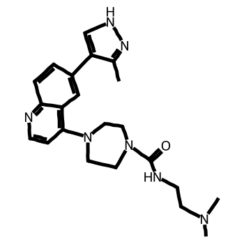 Cc1n[nH]cc1-c1ccc2nccc(N3CCN(C(=O)NCCN(C)C)CC3)c2c1